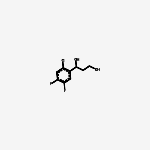 OCCC(O)c1cc(F)c(F)cc1Cl